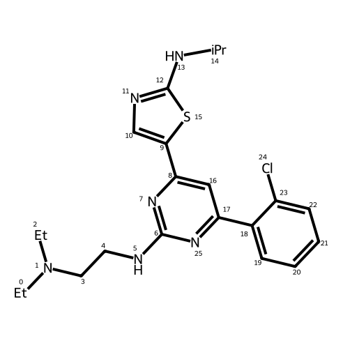 CCN(CC)CCNc1nc(-c2cnc(NC(C)C)s2)cc(-c2ccccc2Cl)n1